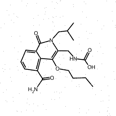 CCCCOc1c(CNC(=O)O)n(CC(C)C)c(=O)c2cccc(C(N)=O)c12